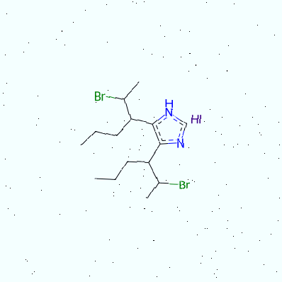 CCCC(c1nc[nH]c1C(CCC)C(C)Br)C(C)Br.I